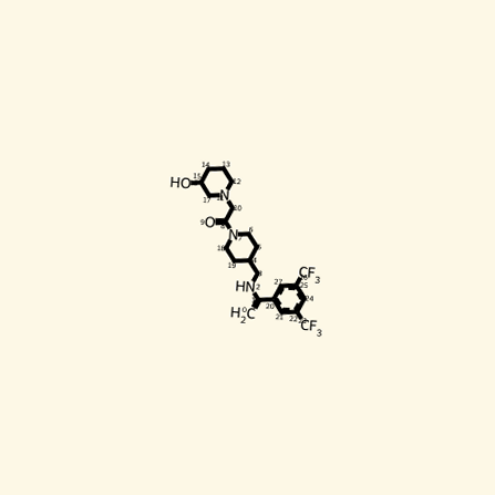 C=C(NCC1CCN(C(=O)CN2CCCC(O)C2)CC1)c1cc(C(F)(F)F)cc(C(F)(F)F)c1